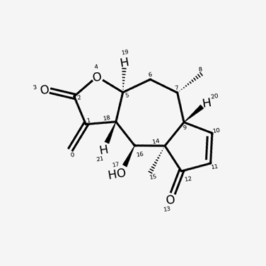 C=C1C(=O)O[C@H]2C[C@H](C)[C@@H]3C=CC(=O)[C@@]3(C)[C@@H](O)[C@H]12